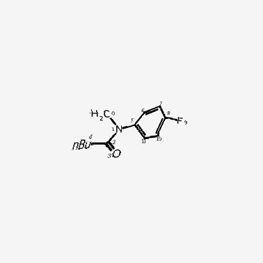 [CH2]N(C(=O)CCCC)c1ccc(F)cc1